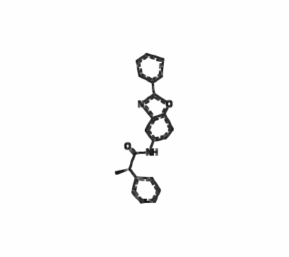 C[C@@H](C(=O)Nc1ccc2oc(-c3ccccc3)nc2c1)c1ccccc1